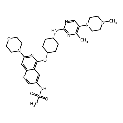 Cc1nc(N[C@H]2CC[C@@H](Oc3nc(N4CCOCC4)cc4ncc(NS(C)(=O)=O)cc34)CC2)ncc1N1CCN(C)CC1